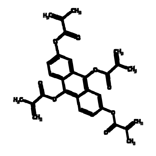 C=C(C)C(=O)Oc1ccc2c(OC(=O)C(=C)C)c3ccc(OC(=O)C(=C)C)cc3c(OC(=O)C(=C)C)c2c1